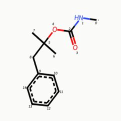 [CH2]NC(=O)OC(C)(C)Cc1ccccc1